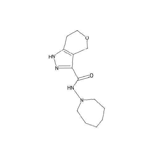 O=C(NN1CCCCCC1)c1n[nH]c2c1COCC2